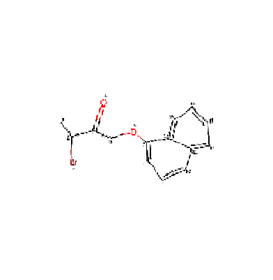 CC(Br)C(=O)COc1cccc2ccccc12